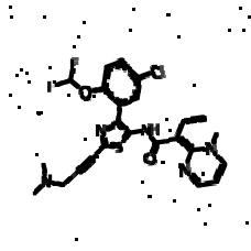 C=C/C(C(=O)Nc1sc(C#CCN(C)C)nc1-c1cc(Cl)ccc1OC(F)F)=C1/N=CC=CN1C